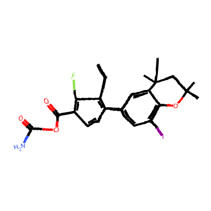 CCc1c(-c2cc(I)c3c(c2)C(C)(C)CC(C)(C)O3)ccc(C(=O)OC(N)=O)c1F